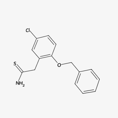 NC(=S)Cc1cc(Cl)ccc1OCc1ccccc1